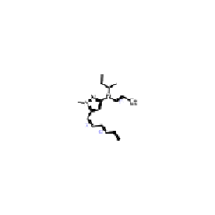 C=C/C=C/C=C\c1cc(N(/C=C/CC)C(C)C=C)nn1C